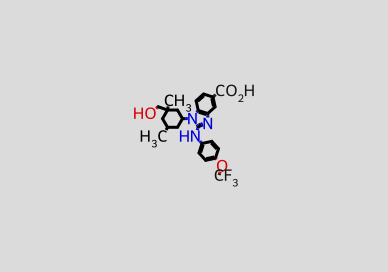 CC1CC(n2c(Nc3ccc(OC(F)(F)F)cc3)nc3cc(C(=O)O)ccc32)CC(C)(CO)C1